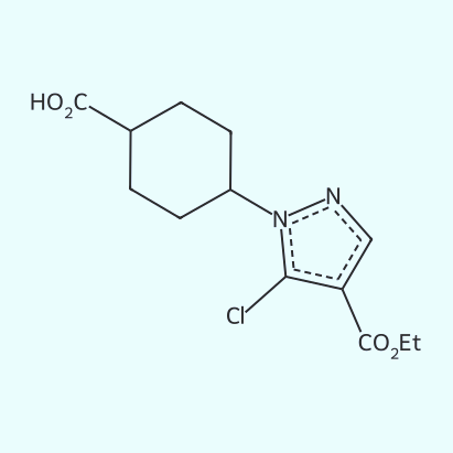 CCOC(=O)c1cnn(C2CCC(C(=O)O)CC2)c1Cl